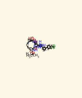 CC(C)(C)OC(=O)N[C@@H]1CCCCC/C=C\[C@@H]2C[C@]2(C(=O)O)NC(=O)[C@@H]2C[C@H](N3NNC(c4cccc(-c5ccc(CC(F)(F)F)cc5)c4)N3)CN2C1=O